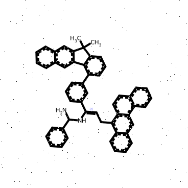 CC1(C)c2cc3ccccc3cc2-c2c(-c3cccc(/C(=C/Cc4c5ccccc5cc5c4ccc4ccccc45)NC(N)c4ccccc4)c3)cccc21